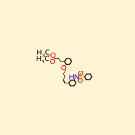 CC(C)OC(=O)CCc1ccccc1OCCC/C=C\c1cccc(NS(=O)(=O)c2ccccc2)c1